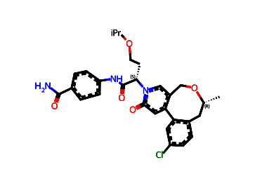 CC(C)OCC[C@@H](C(=O)Nc1ccc(C(N)=O)cc1)n1cc2c(cc1=O)-c1cc(Cl)ccc1C[C@@H](C)OC2